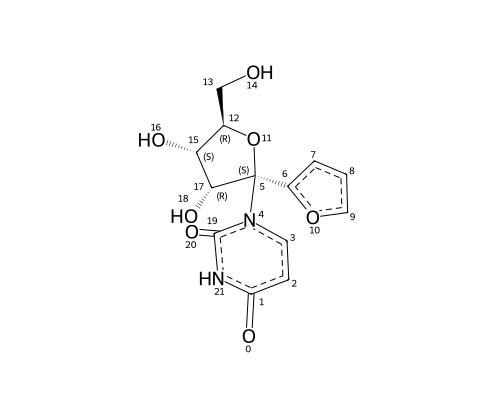 O=c1ccn([C@]2(c3ccco3)O[C@H](CO)[C@@H](O)[C@H]2O)c(=O)[nH]1